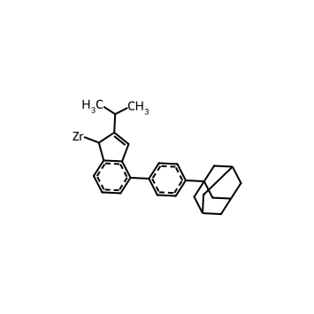 CC(C)C1=Cc2c(-c3ccc(C45CC6CC(CC(C6)C4)C5)cc3)cccc2[CH]1[Zr]